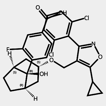 O=C(O)c1ccc([C@]2(O)[C@@H]3CC[C@H]2C[C@H](OCc2c(-c4c(Cl)cccc4Cl)noc2C2CC2)C3)c(F)c1